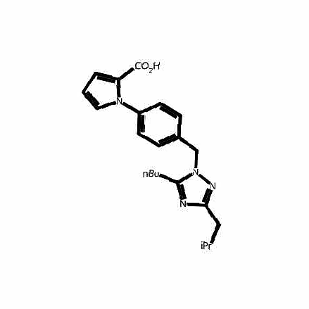 CCCCc1nc(CC(C)C)nn1Cc1ccc(-n2cccc2C(=O)O)cc1